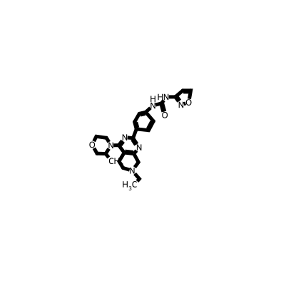 CCN1CCc2c(nc(-c3ccc(NC(=O)Nc4ccon4)cc3)nc2N2CCOCC2C)C1